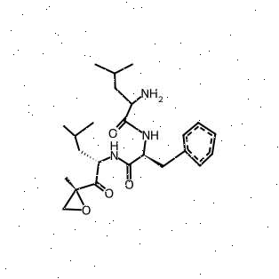 CC(C)CC(N)C(=O)N[C@@H](Cc1ccccc1)C(=O)N[C@@H](CC(C)C)C(=O)[C@@]1(C)CO1